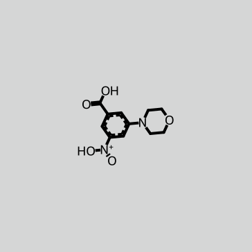 O=C(O)c1cc(N2CCOCC2)cc([N+](=O)O)c1